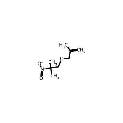 C=C(C)COCC(C)(C)[N+](=O)[O-]